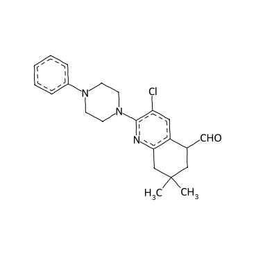 CC1(C)Cc2nc(N3CCN(c4ccccc4)CC3)c(Cl)cc2C(C=O)C1